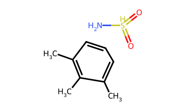 Cc1cccc(C)c1C.N[SH](=O)=O